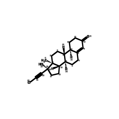 C[C@]12CC[C@H]3[C@@H](CCC4=CC(=O)CC[C@@H]43)[C@@H]1CC[C@@]2(O)C#CCl